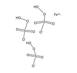 O=S(=O)([O-])OO.O=S(=O)([O-])OO.O=S(=O)([O-])OO.[Fe+3]